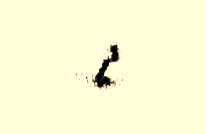 COc1cc(N2CCC(N3CCN(C(=O)COc4cccc5c4CN(C4CCC(=O)NC4=O)C5=O)CC3)CC2)ccc1Nc1ncc(Cl)c(Nc2ccccc2P(=O)(OC)OC)n1